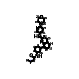 C/C=C\C(=O)Nc1cccc(-c2cccc3cnc(Nc4ccc(N5CCOCC5)nc4)nc23)c1